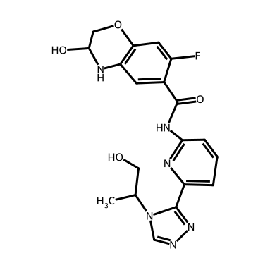 CC(CO)n1cnnc1-c1cccc(NC(=O)c2cc3c(cc2F)OCC(O)N3)n1